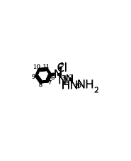 NNN=NN(Cl)c1ccccc1